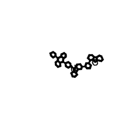 c1ccc(-c2c3ccccc3c(-c3ccc(-n4c5ccccc5c5cc(-c6cccc(-c7cccc8c7oc7ccccc78)c6)ccc54)cc3)c3ccccc23)cc1